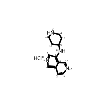 Cl.c1cc2cncc(NC3CCNCC3)c2cn1